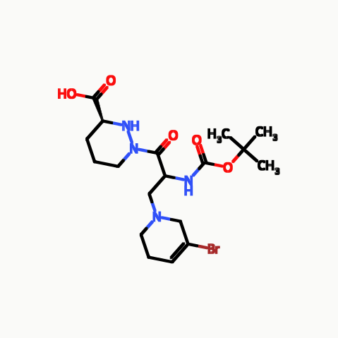 CC(C)(C)OC(=O)NC(CN1CCC=C(Br)C1)C(=O)N1CCC[C@@H](C(=O)O)N1